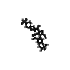 CCn1nc(C(=O)NCC2(O)CCC(S(C)(=O)=O)CC2)c(C#N)c1-c1ccc(CC(C)C(F)(F)F)cc1OC